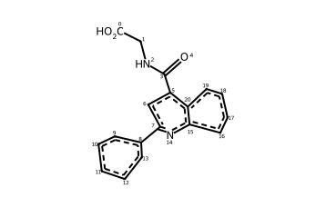 O=C(O)CNC(=O)c1cc(-c2ccccc2)nc2ccccc12